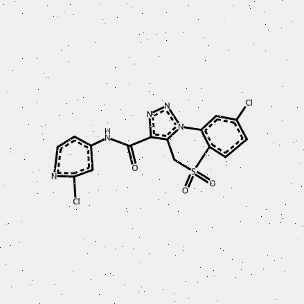 O=C(Nc1ccnc(Cl)c1)c1nnn2c1CS(=O)(=O)c1ccc(Cl)cc1-2